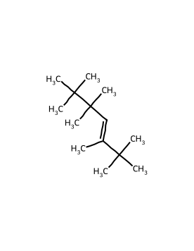 C/C(=C\C(C)(C)C(C)(C)C)C(C)(C)C